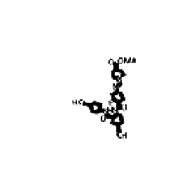 C#Cc1ccc(NC(=O)c2cc(C#C)ccc2NC(=O)c2ccc(/N=C/N3CCC(C(=O)OC)CC3)cc2F)cc1